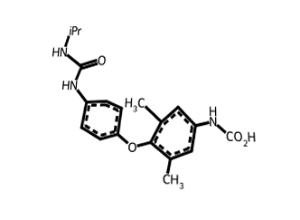 Cc1cc(NC(=O)O)cc(C)c1Oc1ccc(NC(=O)NC(C)C)cc1